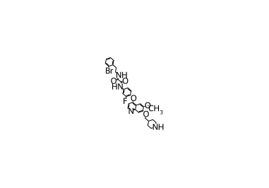 COc1cc2c(Oc3ccc(NC(=O)C(=O)NCCc4ccccc4Br)cc3F)ccnc2cc1OCC1CCNCC1